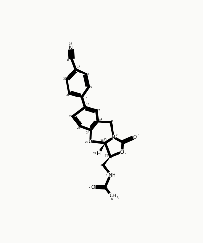 CC(=O)NC[C@@H]1OC(=O)N2Cc3cc(-c4ccc(C#N)cc4)ccc3O[C@@H]12